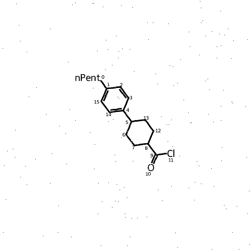 CCCCCc1ccc(C2CCC(C(=O)Cl)CC2)cc1